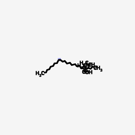 CCCCCCCC/C=C\CCCCCCCCCOP(=O)(O)C(CCC)[N+](C)(C)C